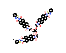 CCC(COCC(C)N1C(=O)c2ccc3c4ccc5c6c(ccc(c7ccc(c2c37)C1=O)c64)C(=O)N(c1nc2ccccc2s1)C5=O)(COCC(C)N1C(=O)c2ccc3c4ccc5c6c(ccc(c7ccc(c2c37)C1=O)c64)C(=O)N(c1nc2ccccc2s1)C5=O)COCC(C)N1C(=O)c2ccc3c4ccc5c6c(ccc(c7ccc(c2c37)C1=O)c64)C(=O)N(c1nc2ccccc2s1)C5=O